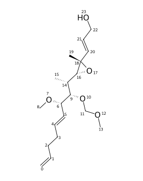 C=CCC/C=C/[C@H](OC)[C@@H](OCOC)[C@H](C)[C@H]1O[C@@]1(C)/C=C/CO